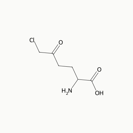 NC(CCC(=O)CCl)C(=O)O